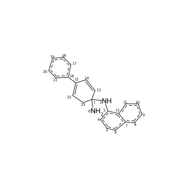 NC1(Nc2cccc3ccccc23)C=CC(c2ccccc2)=CC1